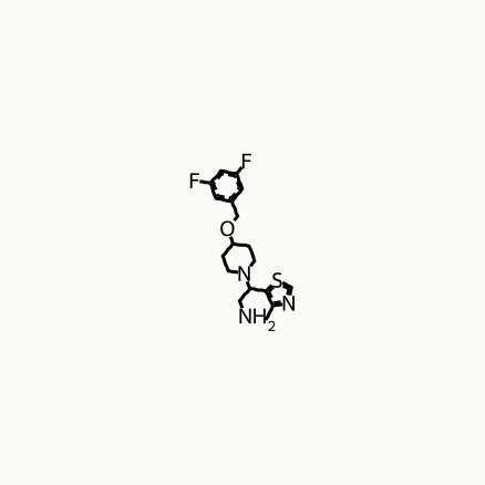 Cc1ncsc1C(CN)N1CCC(OCc2cc(F)cc(F)c2)CC1